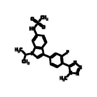 CC(C)n1cc(-c2ccc(-c3nnnn3C)c(F)c2)c2ccc(NS(C)(=O)=O)cc21